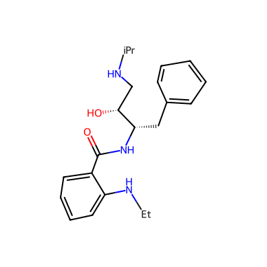 CCNc1ccccc1C(=O)N[C@@H](Cc1ccccc1)[C@H](O)CNC(C)C